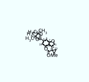 COC(=O)C1(c2coc3cc(B4OC(C)(C)C(C)(C)O4)ccc23)CC1